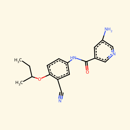 CCC(C)Oc1ccc(NC(=O)c2cncc(N)c2)cc1C#N